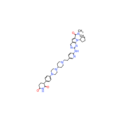 CN(C)C(=O)c1cc2cnc(Nc3ccc(CCN4CCC(N5CCN(c6ccc(C7CCC(=O)NC7=O)cc6)CC5)CC4)cn3)nc2n1C1CCCC1